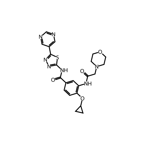 O=C(CN1CCOCC1)Nc1cc(C(=O)Nc2nnc(-c3cncnc3)s2)ccc1OC1CC1